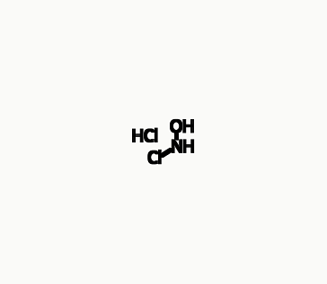 Cl.ONCl